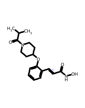 CC(C)C(=O)N1CCC(Oc2ccccc2/C=C/C(=O)NO)CC1